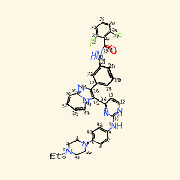 CCN1CCN(c2ccc(Nc3nccc(-c4c(-c5cccc(NC(=O)c6c(F)cccc6F)c5)nc5ccccn45)n3)cc2)CC1